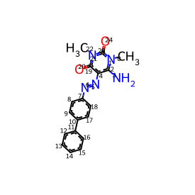 Cn1c(N)c(N=Nc2ccc(-c3ccccc3)cc2)c(=O)n(C)c1=O